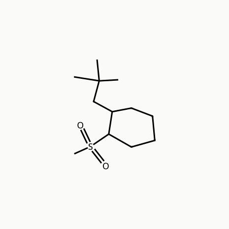 CC(C)(C)CC1CCCCC1S(C)(=O)=O